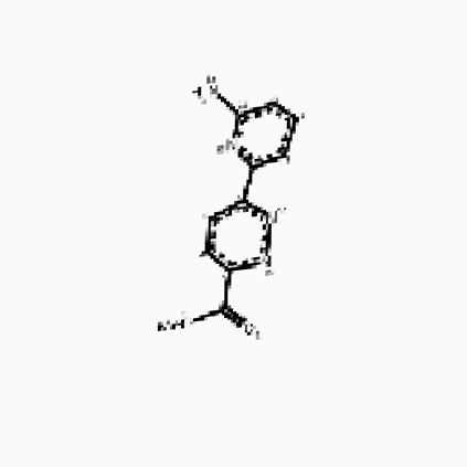 COC(=O)c1ccc(-c2cccc(N)n2)nn1